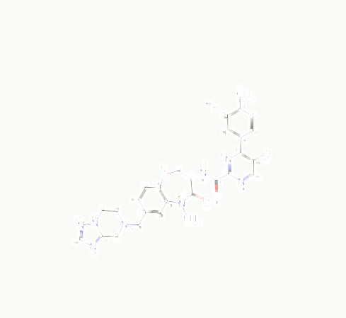 Cc1ccc(-c2nc(C(=O)N[C@H]3COc4ccc(CN5CCn6ncnc6C5)cc4N(C)C3=O)ncc2Cl)cc1F